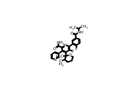 CC(C)NC(=O)c1ccc(F)c(-c2nc(C(N)=O)c(-c3cccnc3)c(C3(C)OCCCC3C)c2F)c1